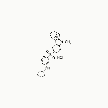 Cl.Cn1c2c(c3cc(S(=O)(=O)c4cccc(NC5CCCC5)c4)ccc31)C1CCC(C2)N1